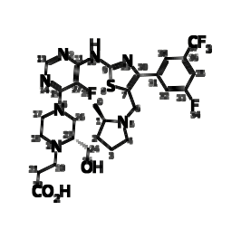 C[C@@H]1CCCN1Cc1sc(Nc2ncnc(N3CCN(CCC(=O)O)[C@@H](CO)C3)c2F)nc1-c1cc(F)cc(C(F)(F)F)c1